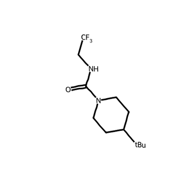 CC(C)(C)C1CCN(C(=O)NCC(F)(F)F)CC1